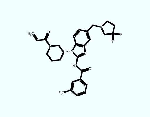 C=CC(=O)N1CCC[C@@H](n2c(NC(=O)c3cccc(C(F)(F)F)c3)nc3cc(CN4CCC(F)(F)C4)ccc32)C1